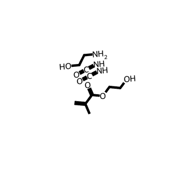 C=C(C)C(=O)OCCO.N=C=O.N=C=O.NCCO